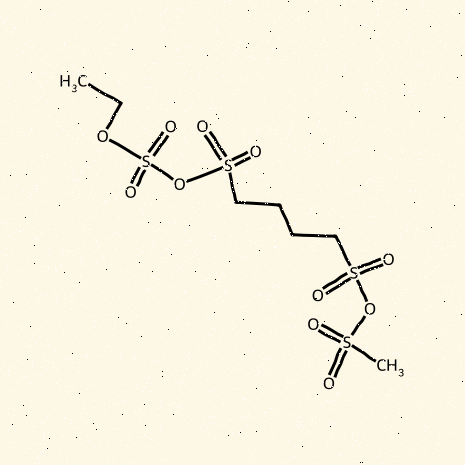 CCOS(=O)(=O)OS(=O)(=O)CCCCS(=O)(=O)OS(C)(=O)=O